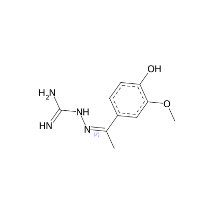 COc1cc(/C(C)=N\NC(=N)N)ccc1O